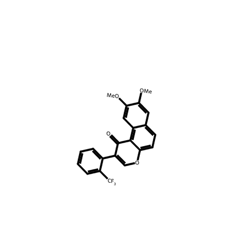 COc1cc2ccc3occ(-c4ccccc4C(F)(F)F)c(=O)c3c2cc1OC